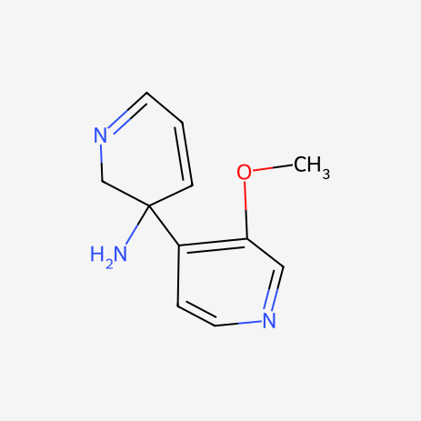 COc1cnccc1C1(N)C=CC=NC1